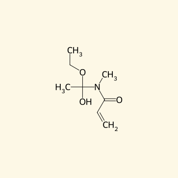 C=CC(=O)N(C)C(C)(O)OCC